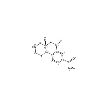 CNC(=O)c1ccc2c(n1)N(C)C[C@H]1CNCCN21